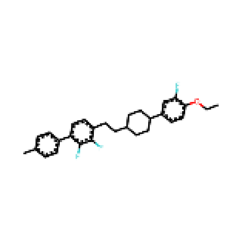 CCOc1ccc(C2CCC(CCc3ccc(-c4ccc(C)cc4)c(F)c3F)CC2)cc1F